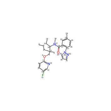 CCCC(C)(COc1ccc(F)cn1)C(CC)N(C)C(=O)c1cc(C)ccc1-n1cccn1